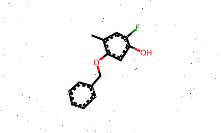 Cc1cc(F)c(O)cc1OCc1ccccc1